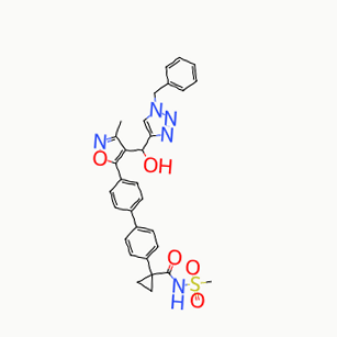 Cc1noc(-c2ccc(-c3ccc(C4(C(=O)NS(C)(=O)=O)CC4)cc3)cc2)c1C(O)c1cn(Cc2ccccc2)nn1